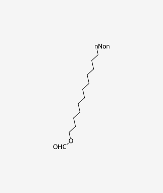 CCCCCCCCCCCCCCCCCCCCCOC=O